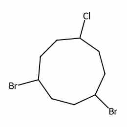 ClC1CCC(Br)CCC(Br)CC1